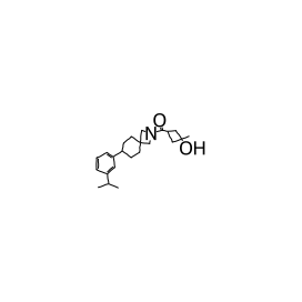 CC(C)c1cccc(C2CCC3(CC2)CN(C(=O)C2CC(C)(O)C2)C3)c1